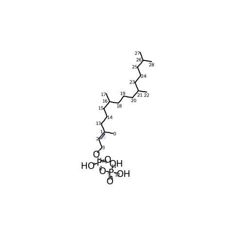 C/C(=C\COP(=O)(O)OP(=O)(O)O)CCCC(C)CCCC(C)CCCC(C)C